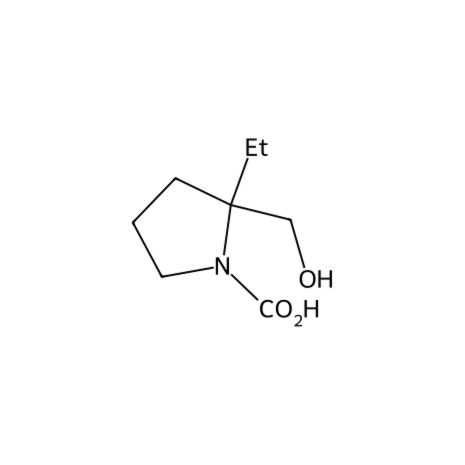 CCC1(CO)CCCN1C(=O)O